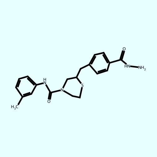 Cc1cccc(NC(=O)N2CCSC(Cc3ccc(C(=O)NN)cc3)C2)c1